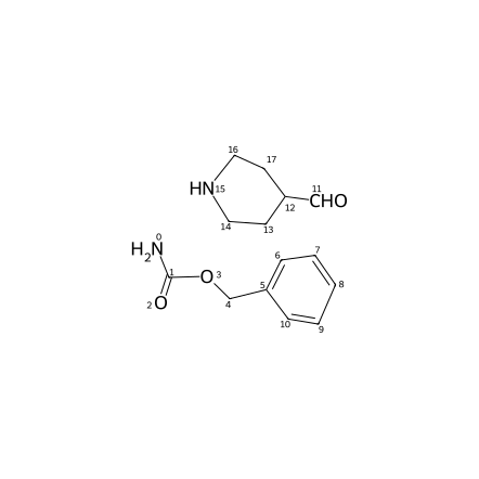 NC(=O)OCc1ccccc1.O=CC1CCNCC1